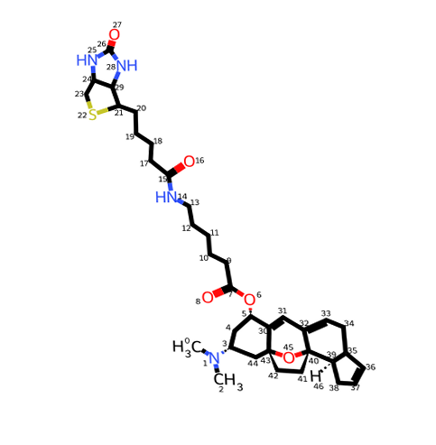 CN(C)[C@@H]1C[C@H](OC(=O)CCCCCNC(=O)CCCCC2SCC3NC(=O)NC32)C2=CC3=CCC4C=CC[C@H]4[C@@]34CC[C@]2(C1)O4